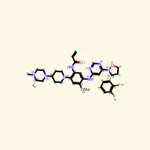 C=CC(=O)Nc1cc(Nc2cc(N3OCC[C@@H]3c3cccc(F)c3F)ncn2)c(OC)cc1N1CCC(N2CCN(C)[C@@H](C)C2)CC1